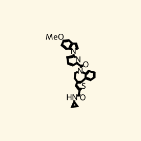 COc1ccc2c(ccn2-c2cccc(C(=O)N3CCc4cc(C(=O)NC5CC5)sc4-c4ccccc43)n2)c1